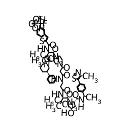 Cc1ncsc1-c1ccc(C(C)NC(=O)[C@@H]2C[C@@H](O)CN2C(=O)C(NC(=O)CCNC(=O)CC(=O)N2CCN(C(=O)C(NC(=O)c3cc4cc(C(F)(F)P(=O)(O)O)ccc4s3)C(C)(C)C)[C@H](C(=O)N3CCC[C@H](c4ccccc4)C3)C2)C(C)(C)C)cc1